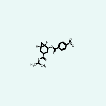 CC(C)OC(=O)[C@H]1C[C@@H]2C[C@@H]2[C@@H](OC(=O)c2ccc([N+](=O)[O-])cc2)C1